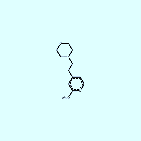 COc1cc(CCN2CCOCC2)ccn1